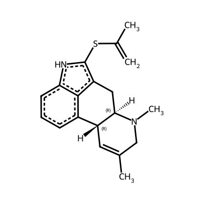 C=C(C)Sc1[nH]c2cccc3c2c1C[C@@H]1[C@@H]3C=C(C)CN1C